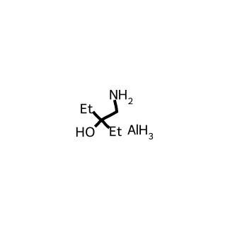 CCC(O)(CC)CN.[AlH3]